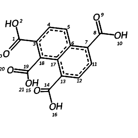 O=C(O)c1ccc2c(C(=O)O)ccc(C(=O)O)c2c1C(=O)O